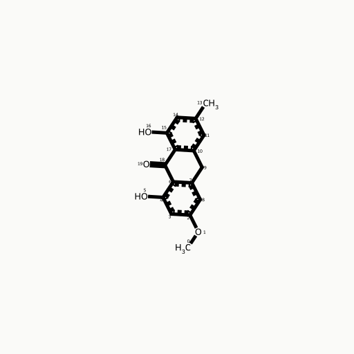 COc1cc(O)c2c(c1)[CH]c1cc(C)cc(O)c1C2=O